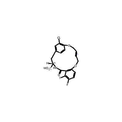 O=C1N[C@H](C(=O)O)Cc2ccc(c(Cl)c2)OC/C=C/COc2ccc(F)c(F)c21